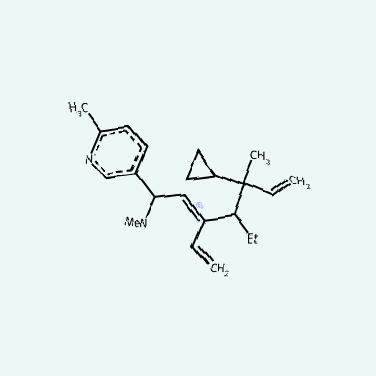 C=C/C(=C\C(NC)c1ccc(C)nc1)C(CC)C(C)(C=C)C1CC1